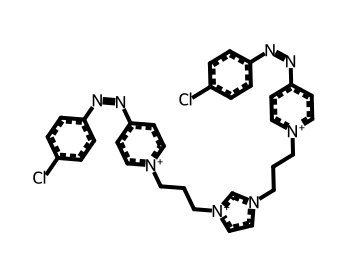 Clc1ccc(/N=N\c2cc[n+](CCCn3cc[n+](CCC[n+]4ccc(/N=N\c5ccc(Cl)cc5)cc4)c3)cc2)cc1